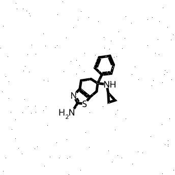 Nc1nc2c(s1)CC(NC1CC1)(c1ccccc1)CC2